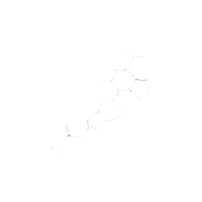 O=C(Nc1nc2ccc(-c3c(Cl)c(F)c(C(F)F)c4[nH]ncc34)nc2s1)C1CC1